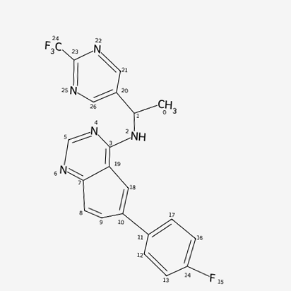 CC(Nc1ncnc2ccc(-c3ccc(F)cc3)cc12)c1cnc(C(F)(F)F)nc1